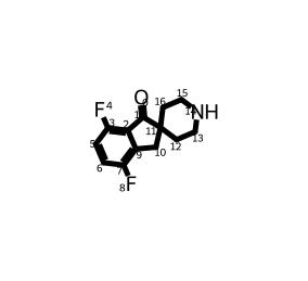 O=C1c2c(F)ccc(F)c2CC12CCNCC2